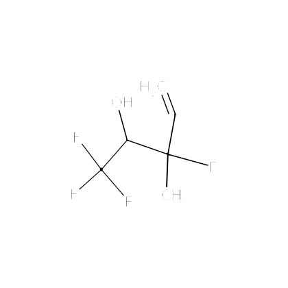 C=CC(C)(F)C(O)C(F)(F)F